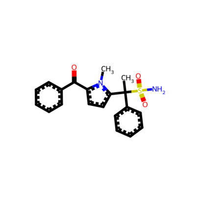 Cn1c(C(=O)c2ccccc2)ccc1C(C)(c1ccccc1)S(N)(=O)=O